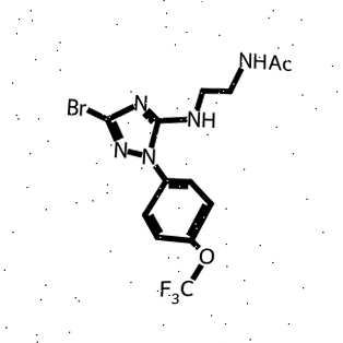 CC(=O)NCCNc1nc(Br)nn1-c1ccc(OC(F)(F)F)cc1